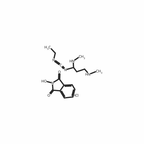 CCN=C=NC(CCNC)NC.Cl.O=C1c2ccccc2C(=O)N1O